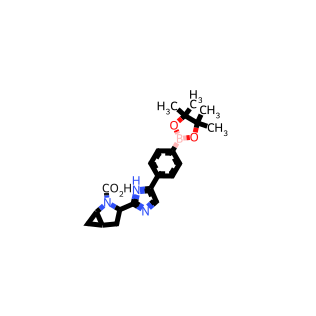 CC1(C)OB(c2ccc(-c3cnc(C4CC5CC5N4C(=O)O)[nH]3)cc2)OC1(C)C